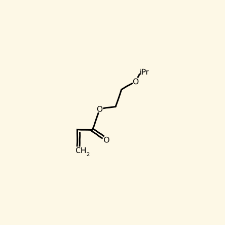 C=CC(=O)OCCOC(C)C